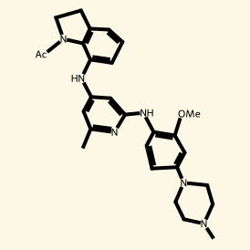 COc1cc(N2CCN(C)CC2)ccc1Nc1cc(Nc2cccc3c2N(C(C)=O)CC3)cc(C)n1